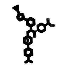 CN(C)c1ccc(C23CCC(CN(c4cccc(-c5cnc(C6CC6)s5)c4)C(=O)[C@H]4CC[C@H](C(=O)O)CC4)(CC2)CC3)cn1